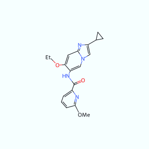 CCOc1cc2nc(C3CC3)cn2cc1NC(=O)c1cccc(OC)n1